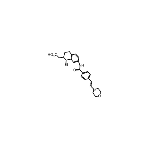 CCC1c2cc(NC(=O)c3ccc(C=NN4CCOCC4)cc3)ccc2CCC1CC(=O)O